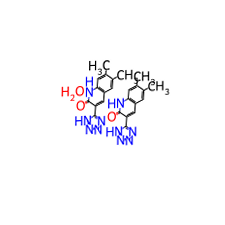 Cc1cc2cc(-c3nnn[nH]3)c(=O)[nH]c2cc1C.Cc1cc2cc(-c3nnn[nH]3)c(=O)[nH]c2cc1C.O